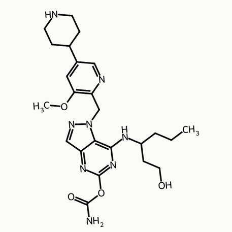 CCCC(CCO)Nc1nc(OC(N)=O)nc2cnn(Cc3ncc(C4CCNCC4)cc3OC)c12